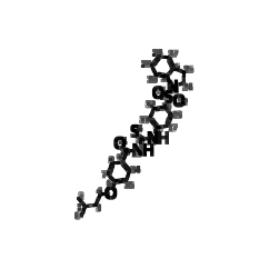 CC(C)CCOc1ccc(C(=O)NC(=S)Nc2ccc(S(=O)(=O)N3CCc4ccccc43)cc2)cc1